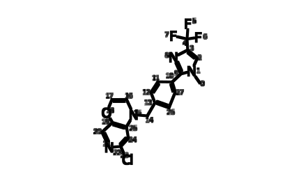 Cn1cc(C(F)(F)F)nc1-c1ccc(CN2C=COc3cnc(Cl)cc32)cc1